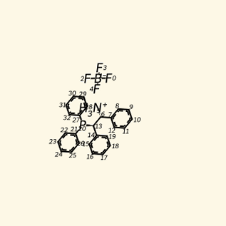 F[B-](F)(F)F.[NH3+][C@H](c1ccccc1)[C@@H](c1ccccc1)P(c1ccccc1)c1ccccc1